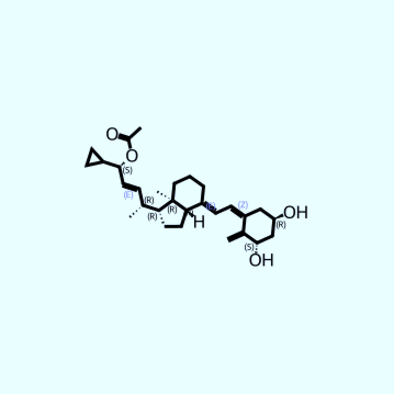 C=C1/C(=C\C=C2/CCC[C@]3(C)[C@@H]([C@H](C)/C=C/[C@@H](OC(C)=O)C4CC4)CC[C@@H]23)C[C@@H](O)C[C@@H]1O